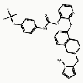 Cn1cccc1CN1CCc2c(cccc2Oc2ncccc2NC(=O)Nc2ccc(OC(F)(F)F)cc2)C1